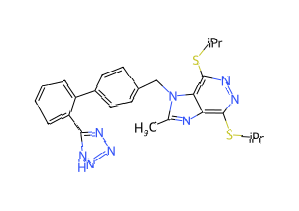 Cc1nc2c(SC(C)C)nnc(SC(C)C)c2n1Cc1ccc(-c2ccccc2-c2nnn[nH]2)cc1